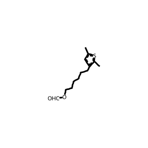 Cc1cc(CCCCCCOC=O)c(C)s1